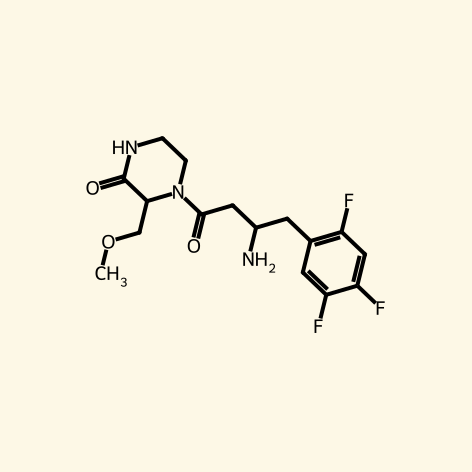 COCC1C(=O)NCCN1C(=O)CC(N)Cc1cc(F)c(F)cc1F